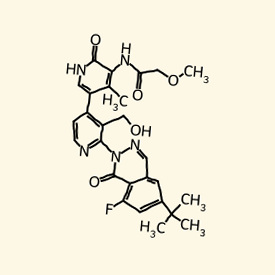 COCC(=O)Nc1c(C)c(-c2ccnc(-n3ncc4cc(C(C)(C)C)cc(F)c4c3=O)c2CO)c[nH]c1=O